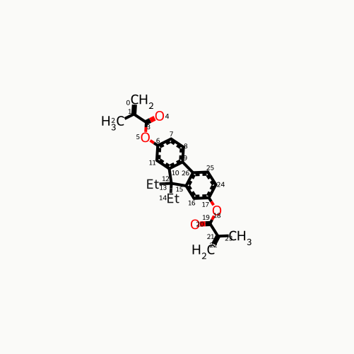 C=C(C)C(=O)Oc1ccc2c(c1)C(CC)(CC)c1cc(OC(=O)C(=C)C)ccc1-2